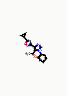 CC1Oc2ccccc2-n2cnc(-c3noc(C4CC4)n3)c21